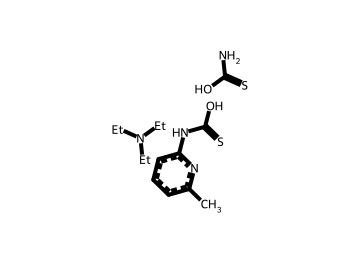 CCN(CC)CC.Cc1cccc(NC(O)=S)n1.NC(O)=S